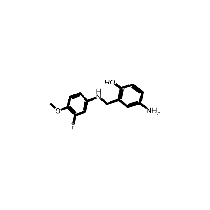 COc1ccc(NCc2cc(N)ccc2O)cc1F